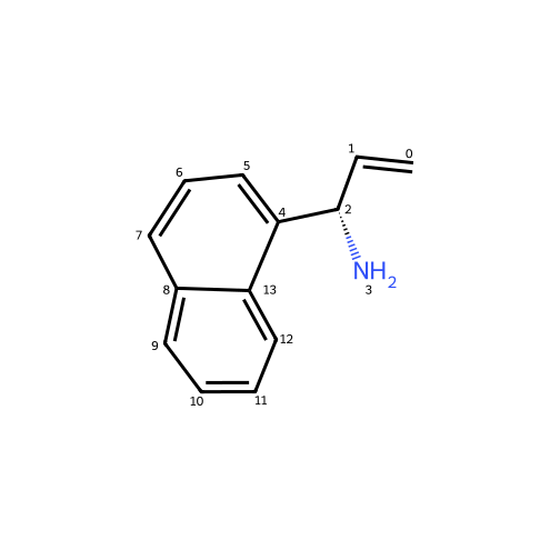 C=C[C@H](N)c1cccc2ccccc12